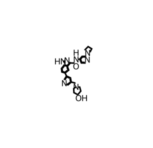 O=C(Nc1ccnc(N2CCCC2)c1)c1n[nH]c2ccc(-c3cncc(CN4CCC(O)CC4)c3)cc12